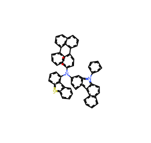 c1ccc(-c2cccc3cccc(-c4ccc(N(c5ccc6c7c8ccccc8ccc7n(-c7ccccc7)c6c5)c5cccc6sc7ccccc7c56)cc4)c23)cc1